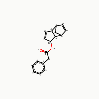 O=C(Cc1ccccc1)OC1C=CC2C3C=CC(C3)C12